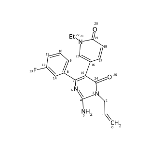 C=CCn1c(N)nc(-c2cccc(F)c2)c(-c2ccc(=O)n(CC)c2)c1=O